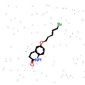 O=C1CCc2cc(OCCCCCBr)ccc2N1